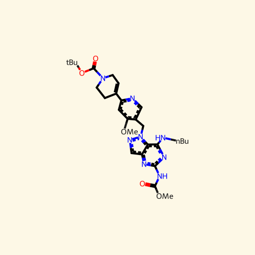 CCCCNc1nc(NC(=O)OC)nc2cnn(Cc3cnc(C4=CCN(C(=O)OC(C)(C)C)CC4)cc3OC)c12